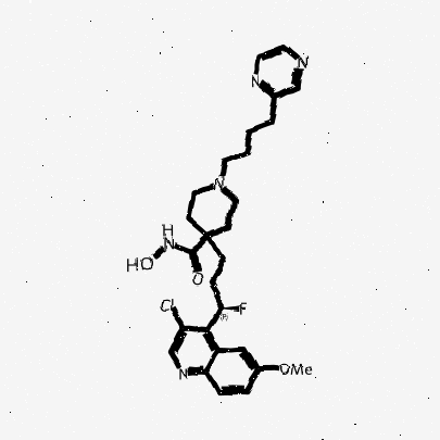 COc1ccc2ncc(Cl)c([C@H](F)CCC3(C(=O)NO)CCN(CCCCc4cnccn4)CC3)c2c1